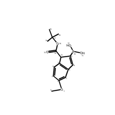 COc1ccc2c(c1)C=C(B(O)O)C2C(=O)OC(C)(C)C